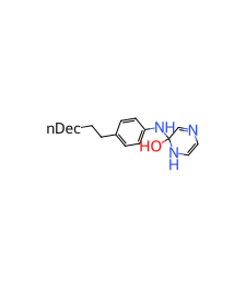 CCCCCCCCCCCCc1ccc(NC2(O)C=NC=CN2)cc1